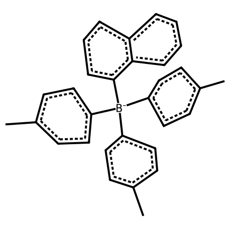 Cc1ccc([B-](c2ccc(C)cc2)(c2ccc(C)cc2)c2cccc3ccccc23)cc1